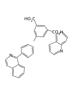 Cc1cc(C(=O)O)cc(C(=O)O)c1.c1ccc(-c2nccc3ccccc23)cc1.c1ccc2ncccc2c1